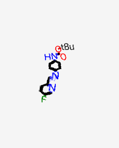 CC(C)(C)OC(=O)Nc1ccc(/N=C/c2ccc(F)cn2)cc1